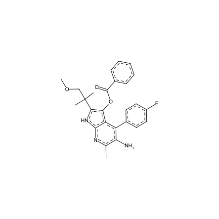 COCC(C)(C)c1[nH]c2nc(C)c(N)c(-c3ccc(F)cc3)c2c1OC(=O)c1ccccc1